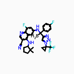 BC(Nc1cc(F)c2ncc(C#N)c(NC3CCCC3(C)C)c2c1)(c1ccc(F)cc1)c1cn(C2(C(F)(F)F)CC2)nn1